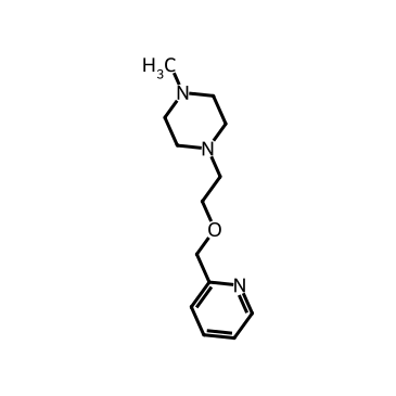 CN1CCN(CCOCc2ccccn2)CC1